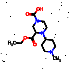 CCOC(=O)C1CN(C(=O)O)CCN1C1CCN(C)CC1